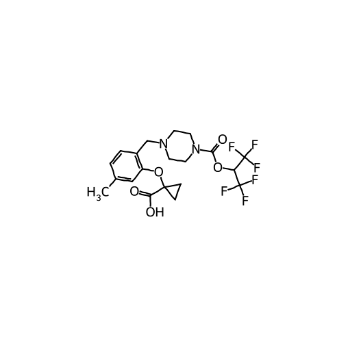 Cc1ccc(CN2CCN(C(=O)OC(C(F)(F)F)C(F)(F)F)CC2)c(OC2(C(=O)O)CC2)c1